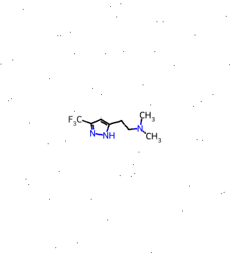 CN(C)CCc1[c]c(C(F)(F)F)n[nH]1